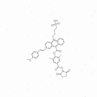 COc1ccc(/C=C/c2ccc3c(c2)c(C(=O)Oc2c(C)cc(C(=O)ON4C(=O)CCC4=O)cc2C)c2ccccc2[n+]3CCCCS(=O)(=O)O)cc1